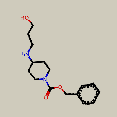 O=C(OCc1ccccc1)N1CCC(NCCCO)CC1